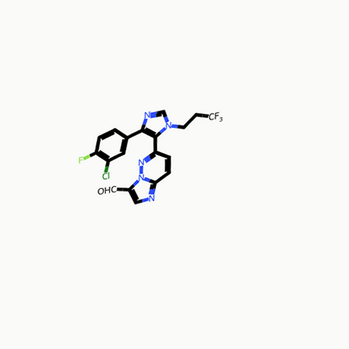 O=Cc1cnc2ccc(-c3c(-c4ccc(F)c(Cl)c4)ncn3CCC(F)(F)F)nn12